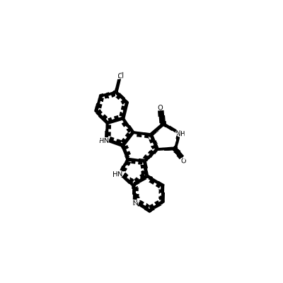 O=C1NC(=O)c2c1c1c3cc(Cl)ccc3[nH]c1c1[nH]c3ncccc3c21